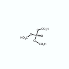 O=C(O)OP(=O)(OC(=O)O)OC(=O)O